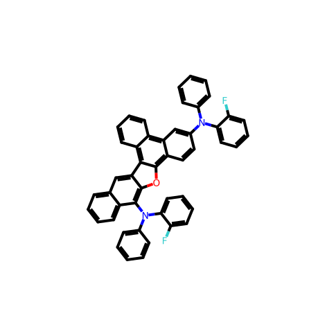 Fc1ccccc1N(c1ccccc1)c1ccc2c(c1)c1ccccc1c1c3cc4ccccc4c(N(c4ccccc4)c4ccccc4F)c3oc21